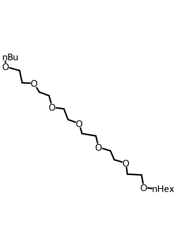 CCCCCCOCCOCCOCCOCCOCCOCCOCCCC